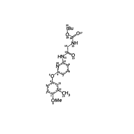 COc1ccc(Oc2cccc(NC(=O)CNC(=O)OC(C)(C)C)n2)cc1C